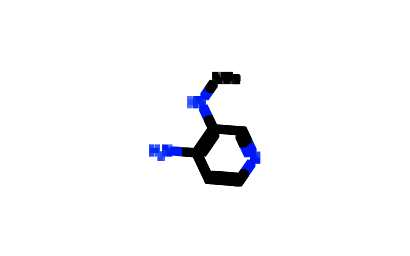 CNNc1cnccc1N